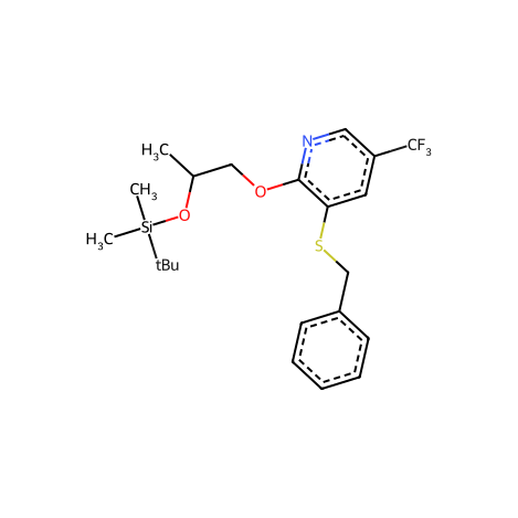 CC(COc1ncc(C(F)(F)F)cc1SCc1ccccc1)O[Si](C)(C)C(C)(C)C